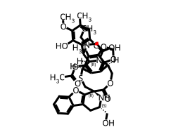 CCN1CC2(O)Cc3cc(C)c(OC)c(O)c3C1[C@@H]1[C@@H]3SC[C@]4(N[C@H](CO)Cc5c4oc4ccccc54)C(=O)OC[C@@H](c4c5c(c(C)c(OC(C)=O)c43)OCO5)N12